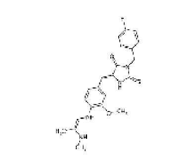 CN/C(C)=C\Nc1ccc(/C=C2\NC(=S)N(Cc3ccc(F)cc3)C2=O)cc1OC